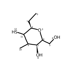 CC[C@H]1OC(CO)[C@@H](O)C(C)C1S